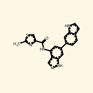 Cc1nc(C(=O)Nc2cc(-c3ccc4cc[nH]c4c3)cc3[nH]ncc23)cs1